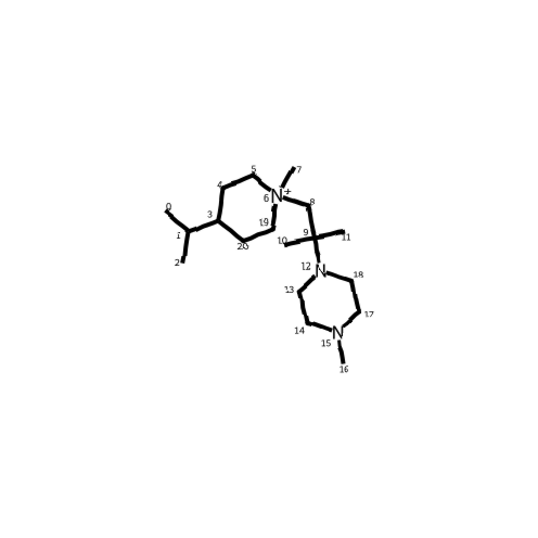 CC(C)C1CC[N+](C)(CC(C)(C)N2CCN(C)CC2)CC1